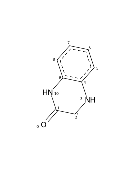 O=C1[C]Nc2ccccc2N1